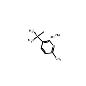 Cc1ccc([C@](C)(N)I)cn1.Cl.Cl